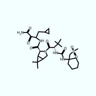 CC1(C)C2CN(C(=O)[C@@H](NC(=O)NC3(CS(C)(=O)=O)CCCCC3)C(C)(C)C)[C@H](C(=O)NC(CC3CC3)C(=O)C(N)=O)C21